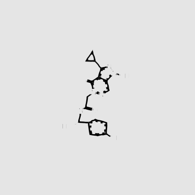 Cc1ccc([C@H](C)NC(=O)Cn2ncc3c(c(C4CC4)nn3C)c2=O)cc1